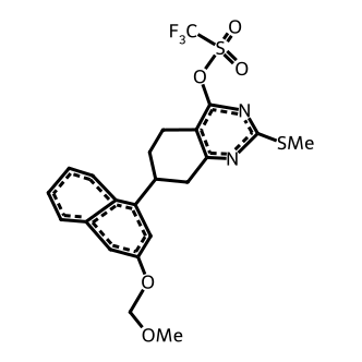 COCOc1cc(C2CCc3c(nc(SC)nc3OS(=O)(=O)C(F)(F)F)C2)c2ccccc2c1